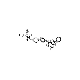 CC(C)NC(=O)CC1CCN(c2ccc(NC(=O)c3oc(N4CCCCC4)nc3C(F)(F)F)cn2)CC1